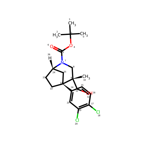 CC(C)(C)OC(=O)N1C[C@](C)(CO)[C@]2(c3ccc(Cl)c(Cl)c3)CC[C@H]1C2